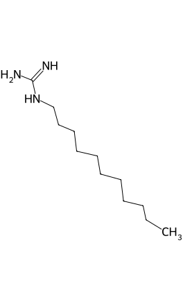 CCCCCCCCCCCNC(=N)N